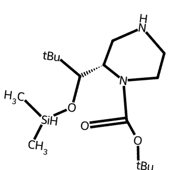 C[SiH](C)OC([C@@H]1CNCCN1C(=O)OC(C)(C)C)C(C)(C)C